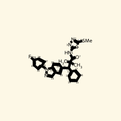 CSc1nnc(NC(=O)C(C)(C)C(c2ccccc2)c2ccc3c(cnn3-c3ccc(F)cc3)c2)s1